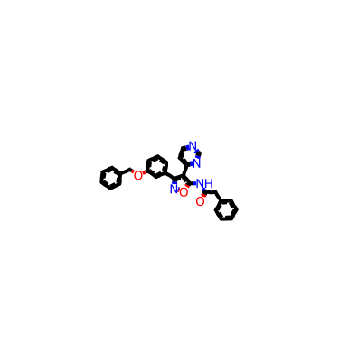 O=C(Cc1ccccc1)Nc1onc(-c2cccc(OCc3ccccc3)c2)c1-c1ccncn1